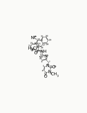 Cn1c(=O)ccn(Cc2csc(NC(=O)C3(C)CC4(C#N)c5ccccc5C3c3ccccc34)n2)c1=O